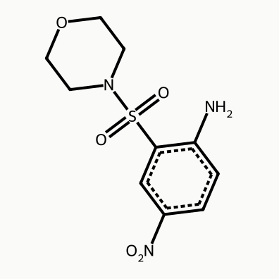 Nc1ccc([N+](=O)[O-])cc1S(=O)(=O)N1CCOCC1